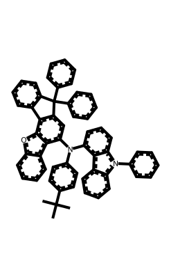 CC(C)(C)c1ccc(N(c2cc3c(c4oc5ccccc5c24)-c2ccccc2C3(c2ccccc2)c2ccccc2)c2cccc3c2c2ccccc2n3-c2ccccc2)cc1